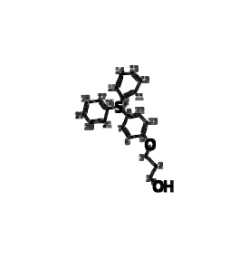 OCCCOc1ccc([S+](c2ccccc2)c2ccccc2)cc1